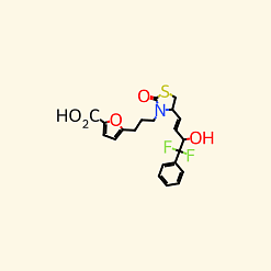 O=C(O)c1ccc(CCCN2C(=O)SCC2C=CC(O)C(F)(F)c2ccccc2)o1